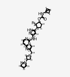 O=C(NC12CC(C1)C2)O[C@H]1CC[C@@H](c2cc(Nc3nccc4nc(CN5CC(n6cccn6)C5)cn34)n[nH]2)[C@H]1F